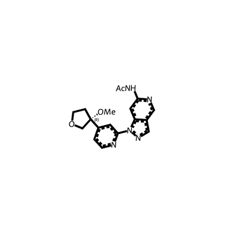 CO[C@@]1(c2ccnc(-n3ncc4cnc(NC(C)=O)cc43)c2)CCOC1